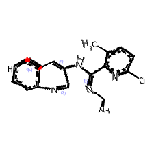 Cc1ccc(Cl)nc1/C(=N\C=N)NC(/C=N\c1ccccc1)=C/C=C/O